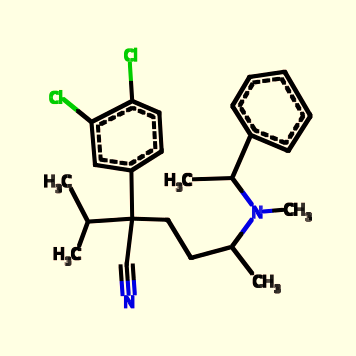 CC(CCC(C#N)(c1ccc(Cl)c(Cl)c1)C(C)C)N(C)C(C)c1ccccc1